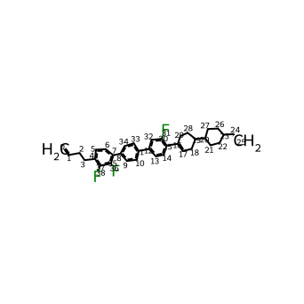 C=CCCc1ccc(-c2ccc(-c3ccc(C4=CCC(C5CCC(C=C)CC5)CC4)c(F)c3)cc2)c(F)c1F